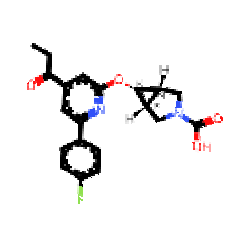 CCC(=O)c1cc(O[C@@H]2[C@@H]3CN(C(=O)O)C[C@@H]32)nc(-c2ccc(F)cc2)c1